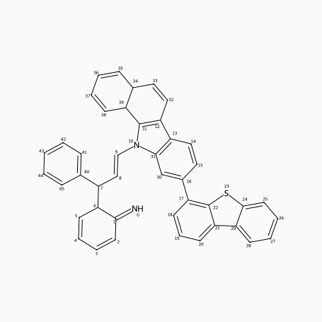 N=C1C=CC=CC1C(/C=C/n1c2c(c3ccc(-c4cccc5c4sc4ccccc45)cc31)C=CC1C=CC=CC21)c1ccccc1